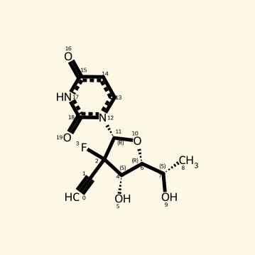 C#CC1(F)[C@@H](O)[C@@H]([C@H](C)O)O[C@H]1n1ccc(=O)[nH]c1=O